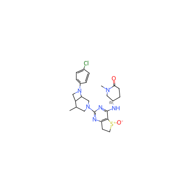 CC1CN(c2nc3c(c(N[C@H]4CCC(=O)N(C)C4)n2)[S+]([O-])CC3)CC2C1CN2c1ccc(Cl)cc1